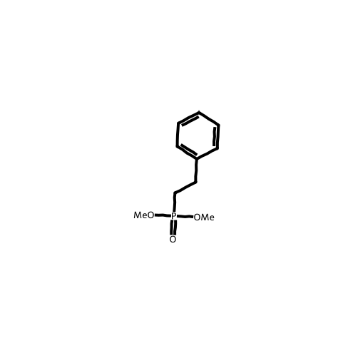 COP(=O)(CCc1cc[c]cc1)OC